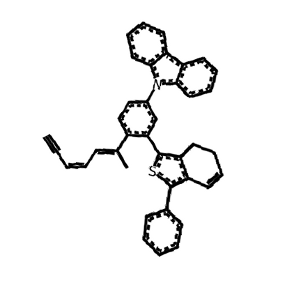 C#C/C=C\C=C(/C)c1ccc(-n2c3ccccc3c3ccccc32)cc1-c1sc(-c2ccccc2)c2c1CCC=C2